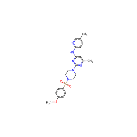 COc1ccc(S(=O)(=O)N2CCN(c3nc(C)cc(Nc4ccc(C)cn4)n3)CC2)cc1